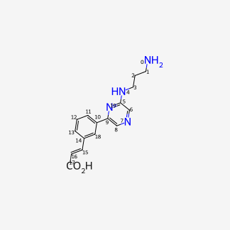 NCCCNc1cncc(-c2cccc(/C=C/C(=O)O)c2)n1